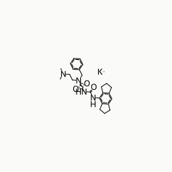 CN(C)CCN(Cc1ccccc1)S(=O)(=O)NC(=O)Nc1c2c(cc3c1CCC3)CCC2.[K]